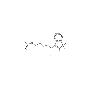 CC(=O)OCCCCC[N+]1=C(C)C(C)(C)c2ccccc21.[I-]